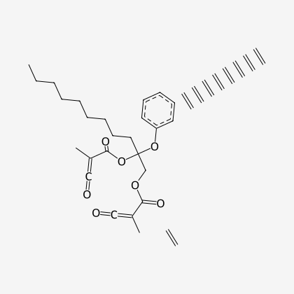 C=C.C=C.C=C.C=C.C=C.C=C.C=C.C=C.C=C.CCCCCCCCCC(COC(=O)C(C)=C=O)(OC(=O)C(C)=C=O)Oc1ccccc1